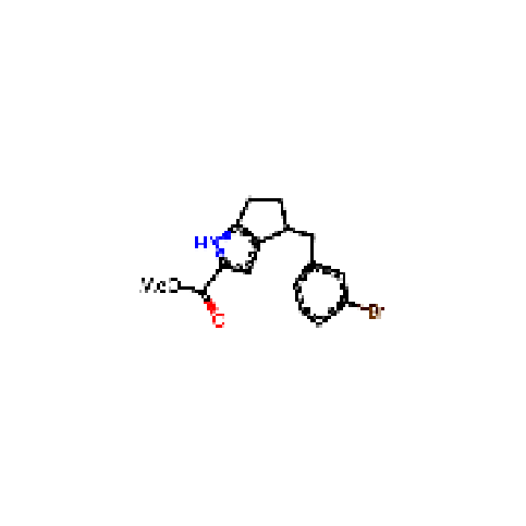 COC(=O)c1cc2c([nH]1)CCC2Cc1cccc(Br)c1